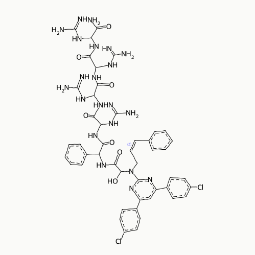 N=C(N)NC(NC(=O)C(NC(=N)N)NC(=O)C(NC(=N)N)NC(=O)C(NC(=N)N)NC(=O)C(NC(=O)C(O)N(C/C=C\c1ccccc1)c1nc(-c2ccc(Cl)cc2)cc(-c2ccc(Cl)cc2)n1)c1ccccc1)C(N)=O